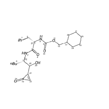 CCCC[C@H](NC(=O)[C@H](CC(C)C)NC(=O)OCC1CCCCC1)C(O)c1cc1=O